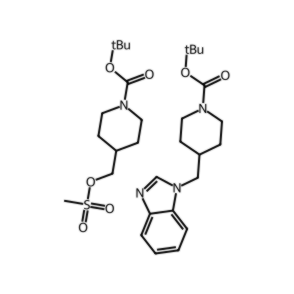 CC(C)(C)OC(=O)N1CCC(COS(C)(=O)=O)CC1.CC(C)(C)OC(=O)N1CCC(Cn2cnc3ccccc32)CC1